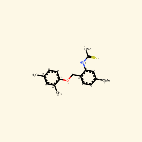 COC(=S)Nc1cc(OC)ccc1COc1ccc(C)cc1C